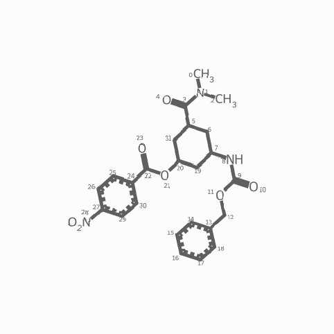 CN(C)C(=O)C1CC(NC(=O)OCc2ccccc2)CC(OC(=O)c2ccc([N+](=O)[O-])cc2)C1